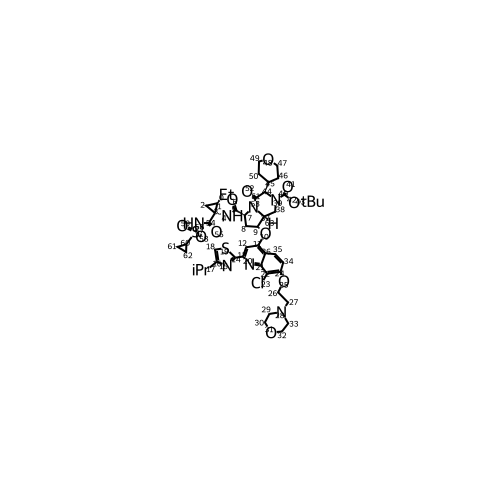 CC[C@@H]1C[C@]1(NC(=O)[C@@H]1C[C@@H](Oc2cc(-c3nc(C(C)C)cs3)nc3c(Cl)c(OCCN4CCOCC4)ccc23)[C@H]2CN(C(=O)OC(C)(C)C)[C@H](C3CCOCC3)C(=O)N21)C(=O)NS(=O)(=O)C1CC1